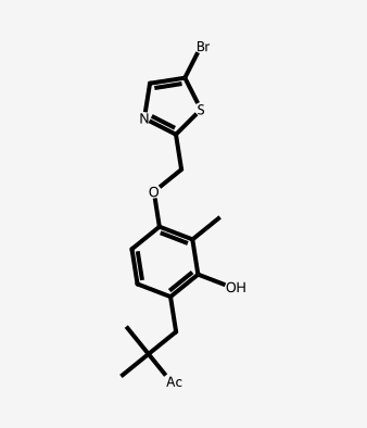 CC(=O)C(C)(C)Cc1ccc(OCc2ncc(Br)s2)c(C)c1O